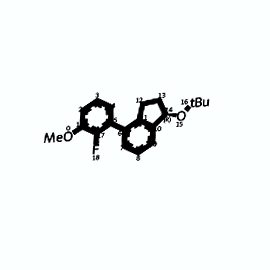 COc1cccc(-c2cccc3c2CC[C@H]3OC(C)(C)C)c1F